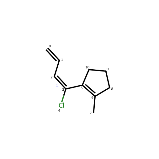 C=C/C=C(/Cl)C1=C(C)CCC1